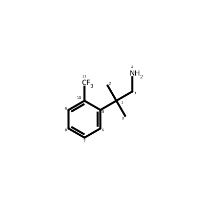 CC(C)(CN)c1ccccc1C(F)(F)F